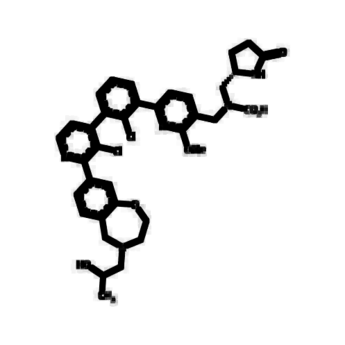 COc1nc(-c2cccc(-c3ccnc(-c4ccc5c(c4)OCCN(CC(C)O)C5)c3Cl)c2Cl)ccc1CN(C[C@@H]1CCC(=O)N1)C(=O)O